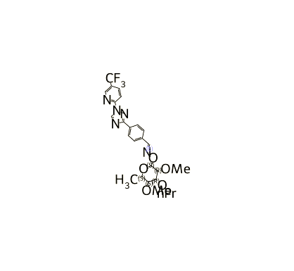 CCCO[C@@H]1[C@@H](OC)[C@H](C)O[C@@H](O/N=C/c2ccc(-c3ncn(-c4ccc(C(F)(F)F)cn4)n3)cc2)[C@@H]1OC